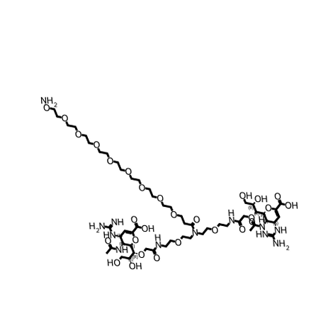 CC(=O)N[C@H]1[C@H]([C@H](OCC(=O)NCCOCCN(CCOCCNC(=O)CO[C@@H]([C@@H]2OC(C(=O)O)=C[C@H](NC(=N)N)[C@H]2NC(C)=O)[C@H](O)CO)C(=O)CCOCCOCCOCCOCCOCCOCCOCCOCCON)[C@H](O)CO)OC(C(=O)O)=C[C@@H]1NC(=N)N